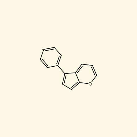 [c]1ccc(-c2ccc3occcc2-3)cc1